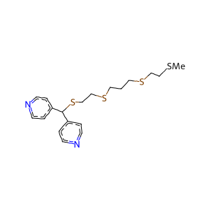 CSCCSCCCSCCSC(c1ccncc1)c1ccncc1